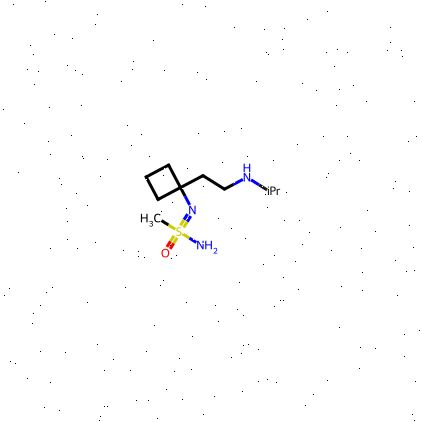 CC(C)NCCC1(N=S(C)(N)=O)CCC1